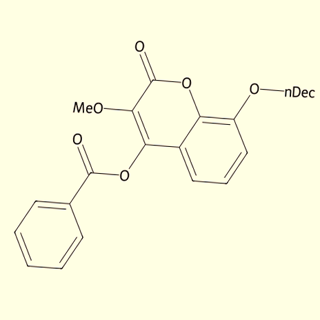 CCCCCCCCCCOc1cccc2c(OC(=O)c3ccccc3)c(OC)c(=O)oc12